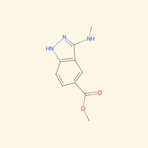 CNc1n[nH]c2ccc(C(=O)OC)cc12